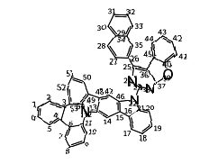 c1ccc2c(c1)-c1ccccc1-n1c3cc4c5ccccc5n(-c5nc(-c6ccc7ccccc7c6)c6c(n5)oc5ccccc56)c4cc3c3cccc-2c31